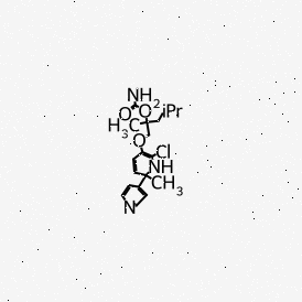 CC(C)CC(C)(COC1=C(Cl)NC(C)(c2ccncc2)C=C1)OC(N)=O